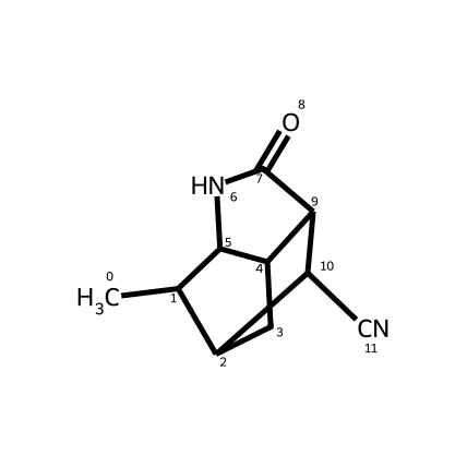 CC1C2CC3C1NC(=O)C3C2C#N